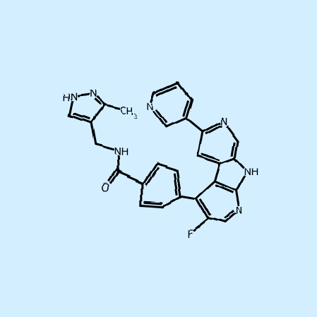 Cc1n[nH]cc1CNC(=O)c1ccc(-c2c(F)cnc3[nH]c4cnc(-c5cccnc5)cc4c23)cc1